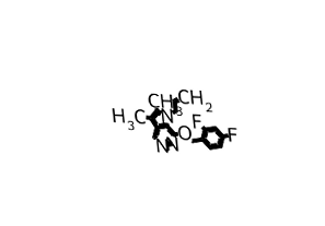 C=CCn1c(C)c(C)c2cnnc(OCc3ccc(F)cc3F)c21